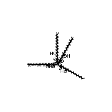 CCCCCCCCCCCCCC(O)CCCC(=O)OCC(COC(=O)CCCC(O)CCCCCCCCCCCCC)(COC(=O)CCCC(O)CCCCCCCCCCCCC)COC(=O)CCCC(O)CCCCCCCCCCCCC